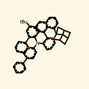 CC(C)(C)c1ccc(N(c2ccc(-c3ccccc3)cc2)c2ccccc2-c2cccc3cccc(C45CC6CC7CC(C4)C765)c23)c(-c2ccccc2)c1